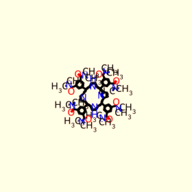 CN(C)C(=O)c1cc(C(=O)N(C)C)cc(-c2c3nc(c(-c4cc(C(=O)N(C)C)cc(C(=O)N(C)C)c4)c4ccc([nH]4)c(-c4cc(C(=O)N(C)C)cc(C(=O)N(C)C)c4)c4nc(c(-c5cc(C(=O)N(C)C)cc(C(=O)N(C)C)c5)c5ccc2[nH]5)C=C4)C=C3)c1